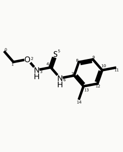 CCONC(=S)Nc1ccc(C)cc1C